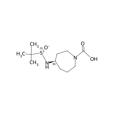 CC(C)(C)[S@@+]([O-])N[C@@H]1CCCN(C(=O)O)CC1